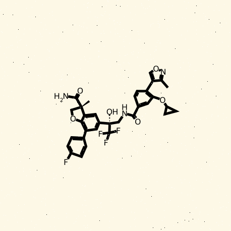 Cc1nocc1-c1ccc(C(=O)NC[C@](O)(c2cc(-c3ccc(F)cc3)c3c(c2)[C@@](C)(C(N)=O)CO3)C(F)(F)F)cc1OC1CC1